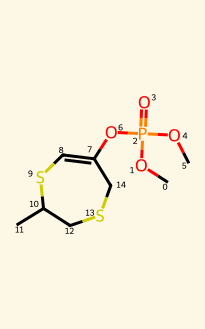 COP(=O)(OC)OC1=CSC(C)CSC1